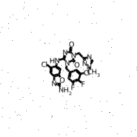 Cn1cnc(Cn2c(=O)nc(Nc3cc4oc(N)nc4cc3Cl)n(Cc3cc(F)c(F)c(Cl)c3)c2=O)n1